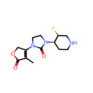 CC1=C(N2CCN([C@@H]3CCNC[C@@H]3F)C2=O)COC1=O